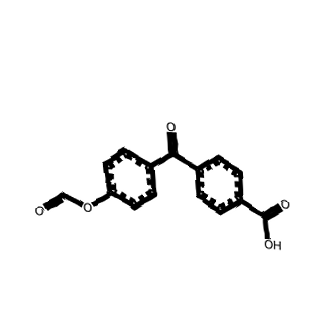 O=COc1ccc(C(=O)c2ccc(C(=O)O)cc2)cc1